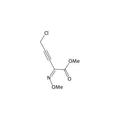 CON=C(C#CCCl)C(=O)OC